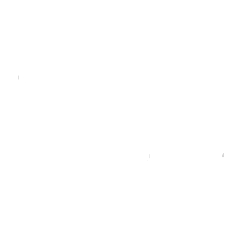 CC(C)CCCCCCCCCCCCCCC(=O)O.O=C(O)c1ccccc1